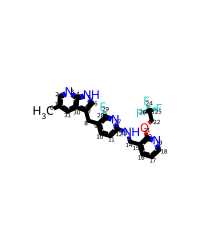 Cc1cnc2[nH]cc(Cc3ccc(NCc4cccnc4OCC(F)(F)F)nc3F)c2c1